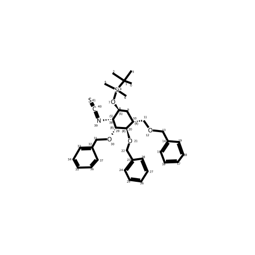 CC(C)(C)[Si](C)(C)O[C@H]1C[C@H](COCc2ccccc2)[C@@H](OCc2ccccc2)[C@H](OCc2ccccc2)[C@@H]1N=C=S